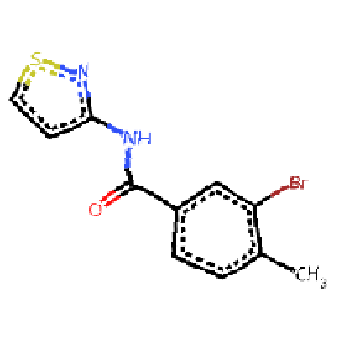 Cc1ccc(C(=O)Nc2ccsn2)cc1Br